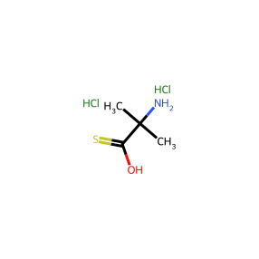 CC(C)(N)C(O)=S.Cl.Cl